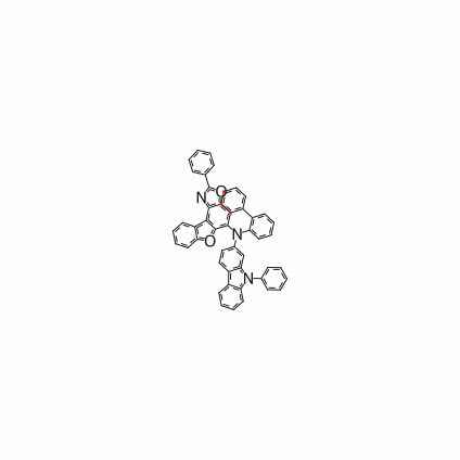 c1ccc(-c2nc3c(cc(N(c4ccc5c6ccccc6n(-c6ccccc6)c5c4)c4ccccc4-c4ccccc4)c4oc5ccccc5c43)o2)cc1